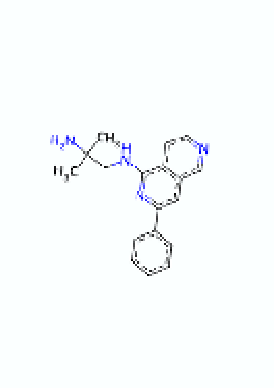 CC(C)(N)CNc1nc(-c2ccccc2)cc2cnccc12